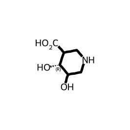 O=C(O)C1CNCC(O)[C@@H]1O